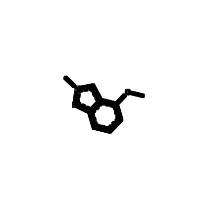 COc1cccc2nn(C)cc12